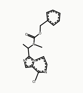 CC(c1ncc2c(Cl)nccn12)N(C)C(=O)OCc1ccccc1